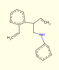 C=Cc1ccccc1C(C=C)CNc1ccccc1